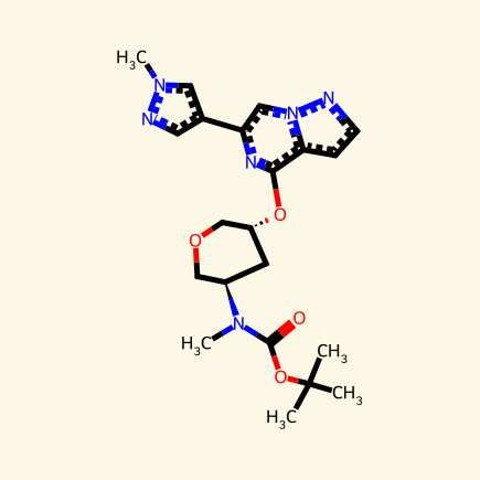 CN(C(=O)OC(C)(C)C)[C@H]1COC[C@H](Oc2nc(-c3cnn(C)c3)cn3nccc23)C1